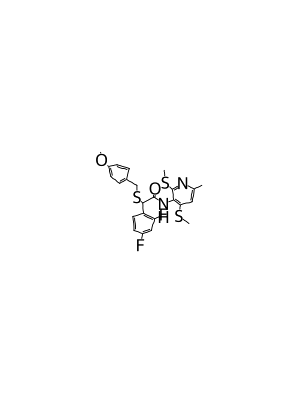 COc1ccc(CSC(C(=O)Nc2c(SC)cc(C)nc2SC)c2ccc(F)cc2F)cc1